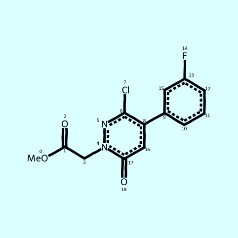 COC(=O)Cn1nc(Cl)c(-c2cccc(F)c2)cc1=O